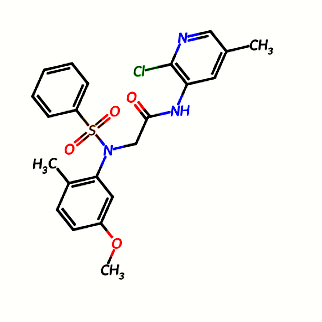 COc1ccc(C)c(N(CC(=O)Nc2cc(C)cnc2Cl)S(=O)(=O)c2ccccc2)c1